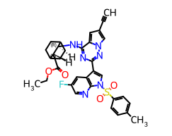 C#Cc1cc2c(N[C@@H]3C4CCC(CC4)[C@H]3C(=O)OCC)nc(-c3cn(S(=O)(=O)c4ccc(C)cc4)c4ncc(F)cc34)nn2c1